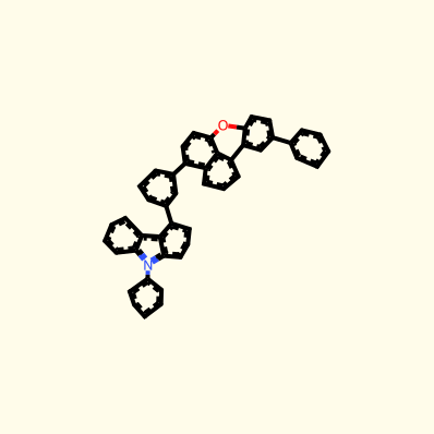 c1ccc(-c2ccc3c(c2)-c2cccc4c(-c5cccc(-c6cccc7c6c6ccccc6n7-c6ccccc6)c5)ccc(c24)O3)cc1